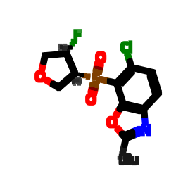 CC(C)(C)c1nc2ccc(Cl)c(S(=O)(=O)[C@@H]3COC[C@@H]3F)c2o1